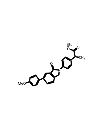 COc1ccc(-c2ccc3c(c2)C(=O)N(c2ccc(C(C)C(=O)OC(C)(C)C)cc2)C3)cc1